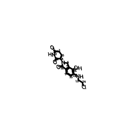 O=C1CCC(N2Cc3c(ccc(NCCCl)c3O)C2=O)C(=O)N1